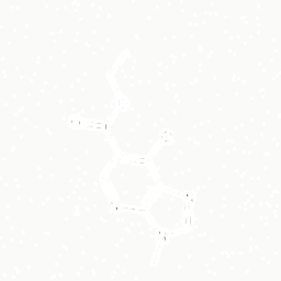 CCOC(=O)c1cnc2c(ncn2C)c1Cl